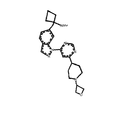 CNC1(c2ccc3cnn(-c4cc(C5CCN(C6COC6)CC5)ncn4)c3c2)CCC1